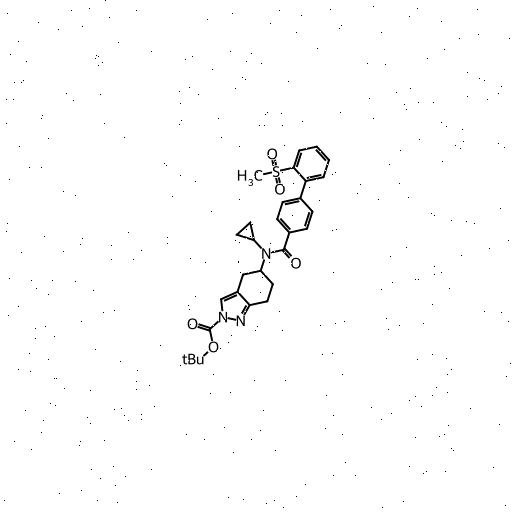 CC(C)(C)OC(=O)n1cc2c(n1)CCC(N(C(=O)c1ccc(-c3ccccc3S(C)(=O)=O)cc1)C1CC1)C2